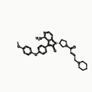 COc1ccc(Oc2ccc(-n3c(=O)n([C@@H]4CCN(C(=O)/C=C/CN5CCCCC5)C4)c4ccnc(N)c43)cc2)cc1